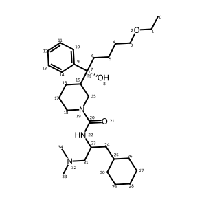 CCOCCCC[C@](O)(c1ccccc1)C1CCCN(C(=O)NC(CC2CCCCC2)CN(C)C)C1